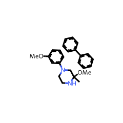 COc1cccc(N2CCNC(C)(OC)C2)c1.c1ccc(-c2ccccc2)cc1